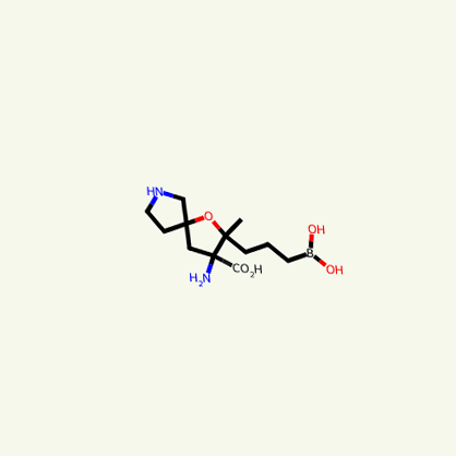 CC1(CCCB(O)O)OC2(CCNC2)CC1(N)C(=O)O